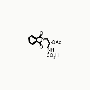 CC(=O)O[C@H](CNC(=O)O)CN1C(=O)c2ccccc2C1=O